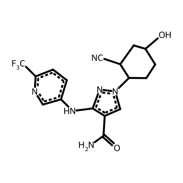 N#CC1CC(O)CCC1n1cc(C(N)=O)c(Nc2ccc(C(F)(F)F)nc2)n1